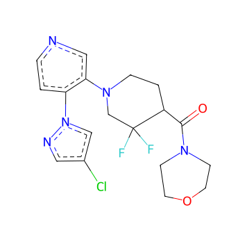 O=C(C1CCN(c2cnccc2-n2cc(Cl)cn2)CC1(F)F)N1CCOCC1